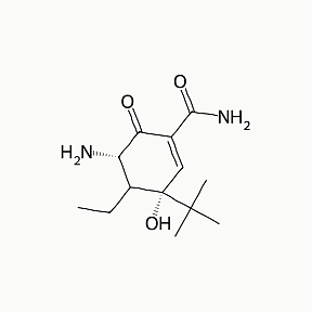 CCC1[C@H](N)C(=O)C(C(N)=O)=C[C@@]1(O)C(C)(C)C